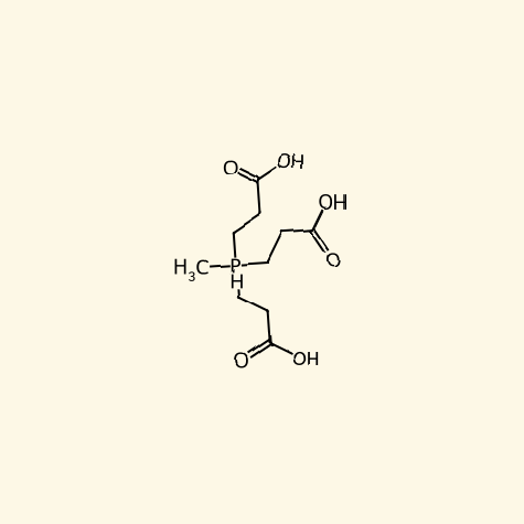 C[PH](CCC(=O)O)(CCC(=O)O)CCC(=O)O